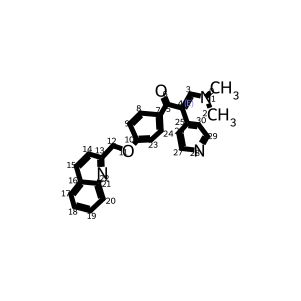 CN(C)/C=C(/C(=O)c1ccc(OCc2ccc3ccccc3n2)cc1)c1ccncc1